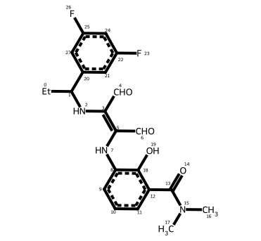 CCC(N/C(C=O)=C(/C=O)Nc1cccc(C(=O)N(C)C)c1O)c1cc(F)cc(F)c1